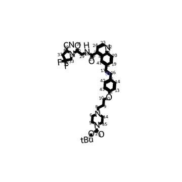 CC(C)(C)OC(=O)N1CCN(CCCOc2ccc(/C=C/c3ccc4nccc(C(=O)NCC(=O)N5CC(F)(F)C[C@H]5C#N)c4c3)cc2)CC1